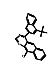 CC(C)(C)c1cc(-c2ncnc3c(Cl)c4ccccc4cc23)cc2ccccc12